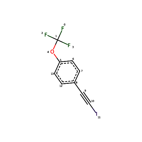 FC(F)(F)Oc1ccc(C#CI)cc1